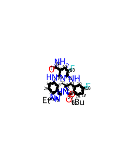 CCn1ncc2cc(Nc3nc(N[C@H](c4cccc(F)c4)[C@H](C)NC(=O)OC(C)(C)C)c(F)cc3C(N)=O)ccc21